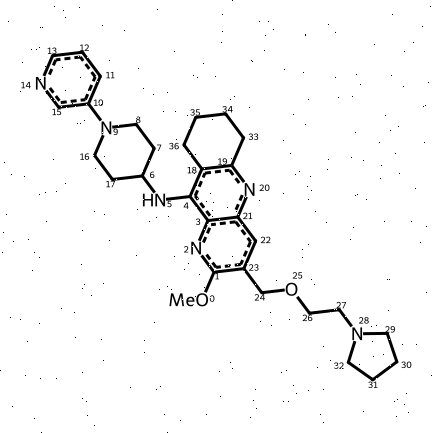 COc1nc2c(NC3CCN(c4cccnc4)CC3)c3c(nc2cc1COCCN1CCCC1)CCCC3